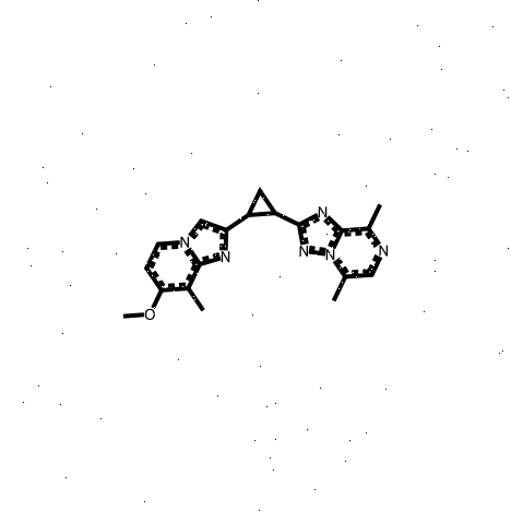 COc1ccn2cc(C3CC3c3nc4c(C)ncc(C)n4n3)nc2c1C